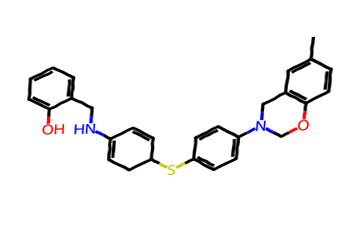 Cc1ccc2c(c1)CN(c1ccc(SC3C=CC(NCc4ccccc4O)=CC3)cc1)CO2